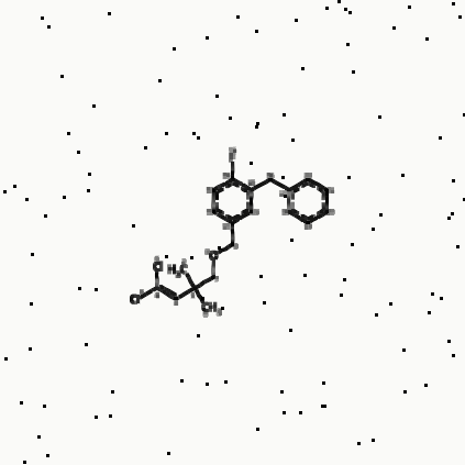 CC(C)(C=C(Cl)Cl)COCc1ccc(F)c(Cc2ccccc2)c1